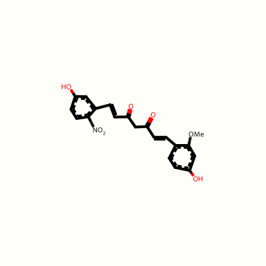 COc1cc(O)ccc1C=CC(=O)CC(=O)C=Cc1cc(O)ccc1[N+](=O)[O-]